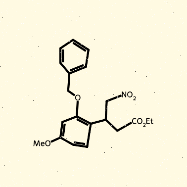 CCOC(=O)CC(C[N+](=O)[O-])c1ccc(OC)cc1OCc1ccccc1